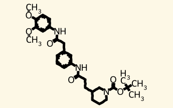 COc1ccc(NC(=O)Cc2cccc(NC(=O)CCC3CCCN(C(=O)OC(C)(C)C)C3)c2)cc1OC